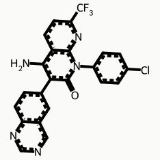 Nc1c(-c2ccc3ncncc3c2)c(=O)n(-c2ccc(Cl)cc2)c2nc(C(F)(F)F)ccc12